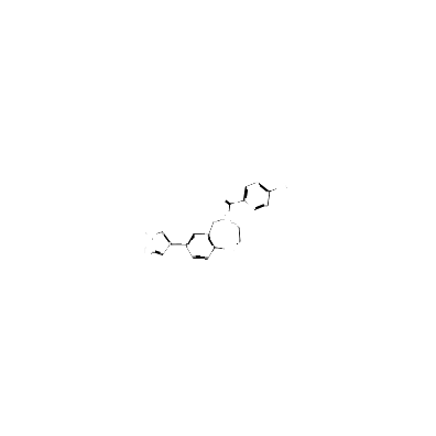 CC(=O)c1ccc(C(=O)N2CCOc3ccc(-c4cn[nH]c4)cc3C2)cc1